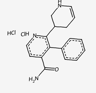 Cl.Cl.NC(=O)c1ccnc(C2CC=CNC2)c1-c1ccccc1